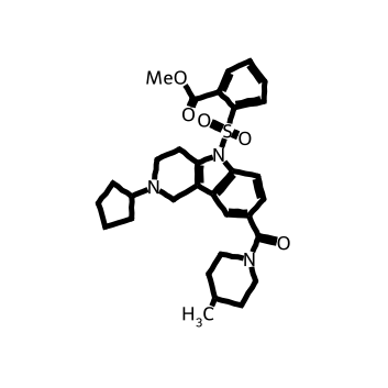 COC(=O)c1ccccc1S(=O)(=O)n1c2c(c3cc(C(=O)N4CCC(C)CC4)ccc31)CN(C1CCCC1)CC2